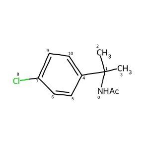 CC(=O)NC(C)(C)c1ccc(Cl)cc1